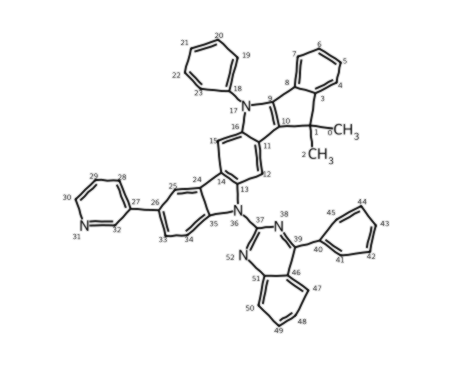 CC1(C)c2ccccc2-c2c1c1cc3c(cc1n2-c1ccccc1)c1cc(-c2cccnc2)ccc1n3-c1nc(-c2ccccc2)c2ccccc2n1